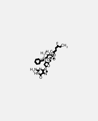 C=C/C(F)=C\C=C(/C)OP(=O)(N[C@@H](C)C(=O)OCc1ccccc1)OC[C@H]1O[C@@H](n2cnc3c(=O)[nH]c(N)nc32)C[C@H]1O